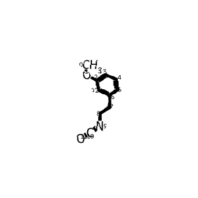 COc1cccc(CCN=C=O)c1